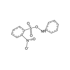 O=[N+]([O-])c1ccccc1S(=O)(=O)ONc1ccccc1